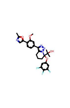 COc1cc(-c2nnn3c2CCCC3(Oc2cc(F)c(F)c(F)c2)C(C)(C)O)ccc1-c1cnc(C)o1